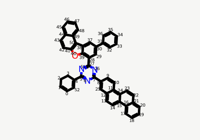 C1=CCCC(c2nc(-c3ccc4c(ccc5c6ccccc6ccc45)c3)nc(-c3cc(-c4ccccc4)cc4c3oc3ccc5ccccc5c34)n2)=C1